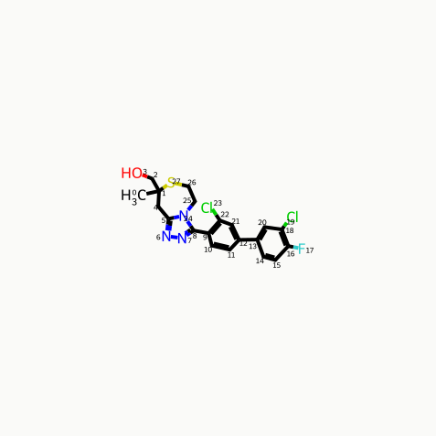 CC1(CO)Cc2nnc(-c3ccc(-c4ccc(F)c(Cl)c4)cc3Cl)n2CCS1